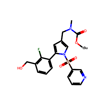 CN(Cc1cc(-c2cccc(CO)c2F)n(S(=O)(=O)c2cccnc2)c1)C(=O)OC(C)(C)C